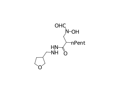 CCCCCC(CN(O)C=O)C(=O)NNCC1CCOC1